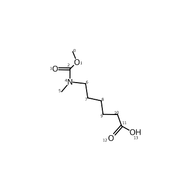 COC(=O)N(C)CCCCCC(=O)O